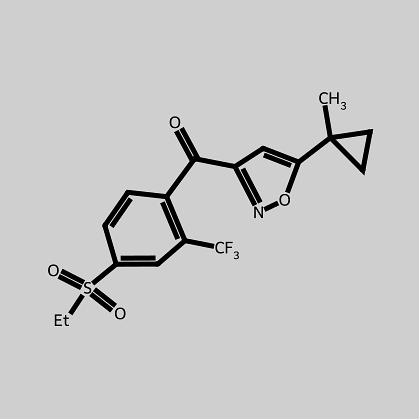 CCS(=O)(=O)c1ccc(C(=O)c2cc(C3(C)CC3)on2)c(C(F)(F)F)c1